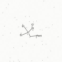 CCCCCC[P+](CC)(CC)CC.[Cl-]